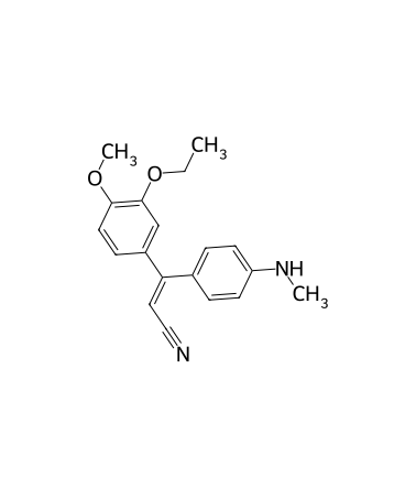 CCOc1cc(C(=CC#N)c2ccc(NC)cc2)ccc1OC